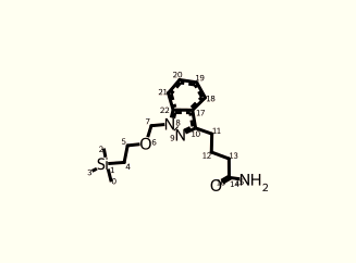 C[Si](C)(C)CCOCn1nc(CCCC(N)=O)c2ccccc21